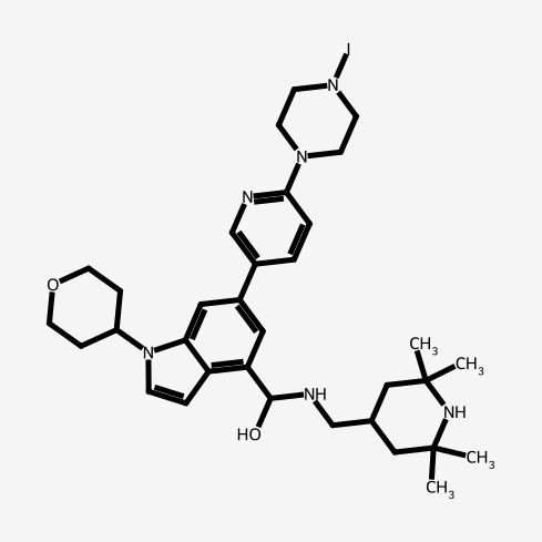 CC1(C)CC(CNC(O)c2cc(-c3ccc(N4CCN(I)CC4)nc3)cc3c2ccn3C2CCOCC2)CC(C)(C)N1